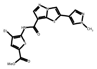 CCc1cc(C(=O)OC)sc1NC(=O)c1cnn2cc(-c3cnn(C)c3)sc12